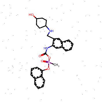 CP(=O)(OC(=O)Nc1cc2ccccc2cc1CNC1CCC(O)CC1)Oc1cccc2ccccc12